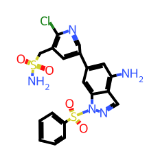 Nc1cc(-c2cnc(Cl)c(CS(N)(=O)=O)c2)cc2c1cnn2S(=O)(=O)c1ccccc1